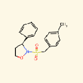 Cc1ccc(CS(=O)(=O)N2OCC[C@H]2c2ccccc2)cc1